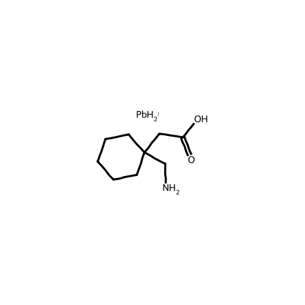 NCC1(CC(=O)O)CCCCC1.[PbH2]